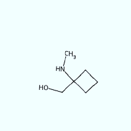 CNC1(CO)CCC1